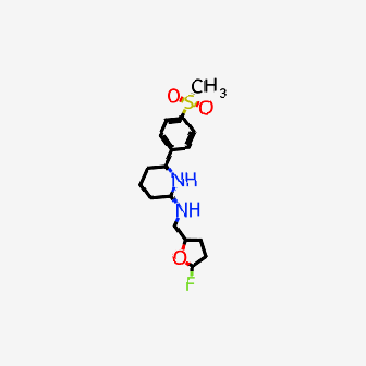 CS(=O)(=O)c1ccc(C2CCCC(NCC3CCC(F)O3)N2)cc1